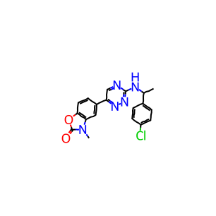 CC(Nc1ncc(-c2ccc3oc(=O)n(C)c3c2)nn1)c1ccc(Cl)cc1